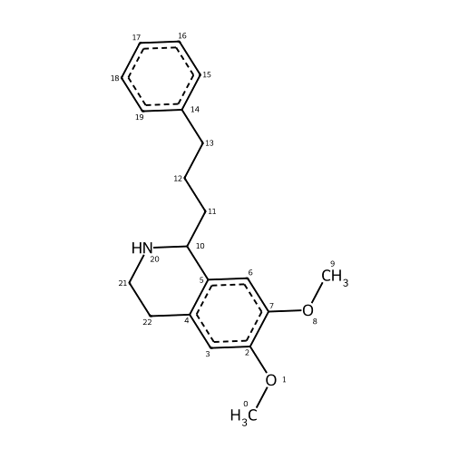 COc1cc2c(cc1OC)C(CCCc1ccccc1)NCC2